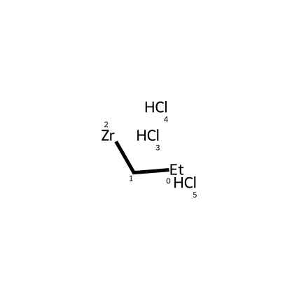 CC[CH2][Zr].Cl.Cl.Cl